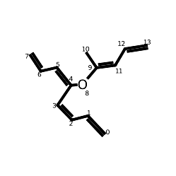 C=C/C=C\C(=C/C=C)O/C(C)=C/C=C